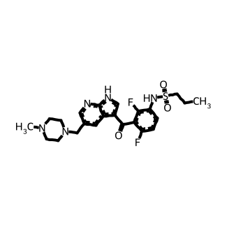 CCCS(=O)(=O)Nc1ccc(F)c(C(=O)c2c[nH]c3ncc(CN4CCN(C)CC4)cc23)c1F